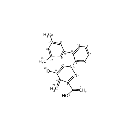 C=C(O)C1=NN(c2ccccc2-c2cc(C)cc(C)c2)C=C(O)C1=C